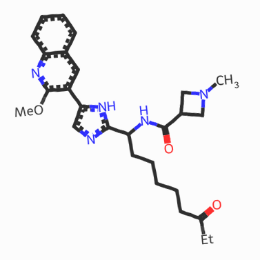 CCC(=O)CCCCCC(NC(=O)C1CN(C)C1)c1ncc(-c2cc3ccccc3nc2OC)[nH]1